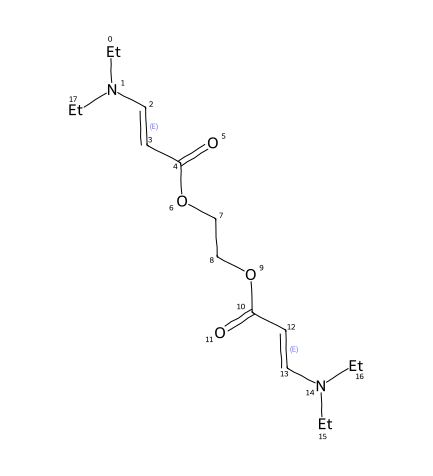 CCN(/C=C/C(=O)OCCOC(=O)/C=C/N(CC)CC)CC